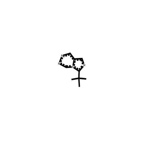 CC(C)(C)c1ncc2cnncn12